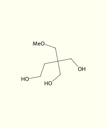 COCC(CO)(CO)CCO